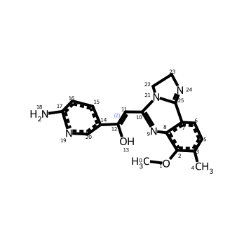 COc1c(C)ccc2c1N=C(/C=C(\O)c1ccc(N)nc1)N1CCN=C21